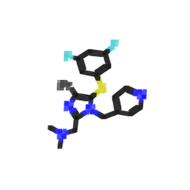 CC(C)c1nc(CN(C)C)n(Cc2ccncc2)c1Sc1cc(F)cc(F)c1